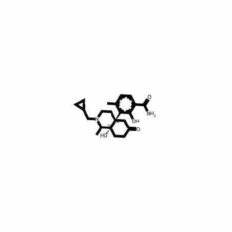 Cc1ccc(C(N)=O)c(O)c1[C@]12CCN(CC3CC3)C(C)[C@]1(O)CCC(=O)C2